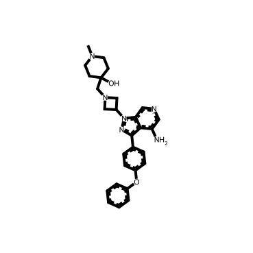 CN1CCC(O)(CN2CC(n3nc(-c4ccc(Oc5ccccc5)cc4)c4c(N)cncc43)C2)CC1